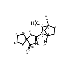 C[C@@H]1[C@@H]2CC[C@@H](C2)N1C1=NC(=O)C2(CCCC2)S1